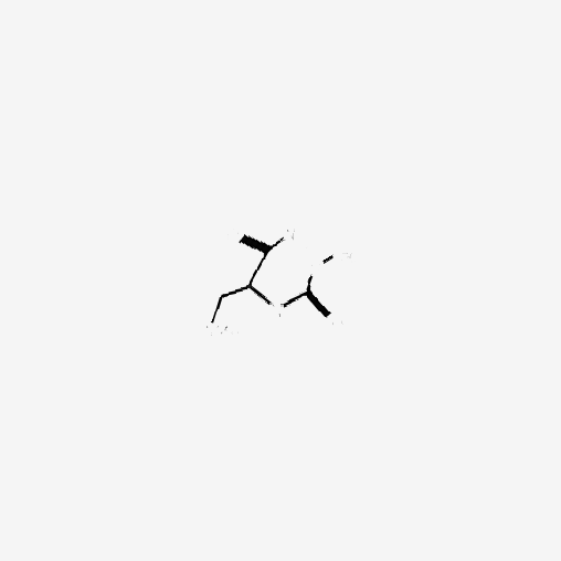 CNCC(NC(=O)OC(C)(C)C)C(N)=O